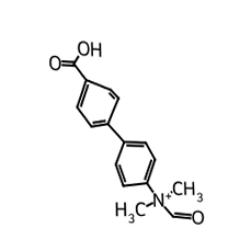 C[N+](C)(C=O)c1ccc(-c2ccc(C(=O)O)cc2)cc1